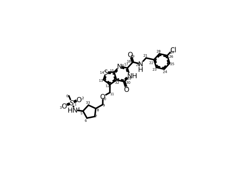 CS(=O)(=O)NC1CCC(COCc2csc3nc(C(=O)NCc4cccc(Cl)c4)[nH]c(=O)c23)C1